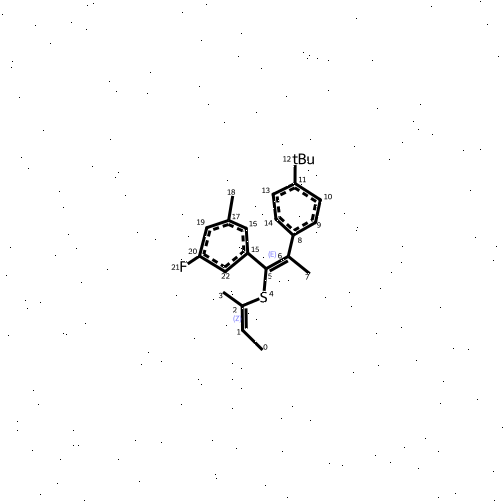 C/C=C(/C)S/C(=C(\C)c1ccc(C(C)(C)C)cc1)c1cc(C)cc(F)c1